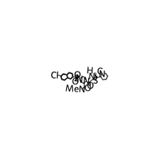 CNC(=O)C1CN(S(=O)(=O)c2ccc3cc(Cl)ccc3c2)CCN1C(=O)c1ncc(C2CCCCN2C)s1